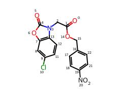 O=C(Cn1c(=O)oc2cc(Cl)ccc21)OCc1ccc([N+](=O)[O-])cc1